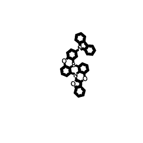 c1cc2c3c(c1)B1c4cc(-n5c6ccccc6c6ccccc65)ccc4Oc4cccc(c41)N3c1oc3ccccc3c1O2